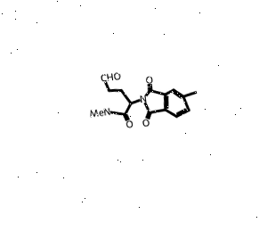 CNC(=O)C(CCC=O)N1C(=O)c2ccc(C)cc2C1=O